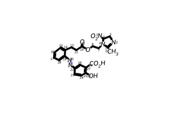 CC1=NCC([N+](=O)[O-])N1CCOC(=O)CCc1ccccc1/N=N/c1ccc(O)c(C(=O)O)c1